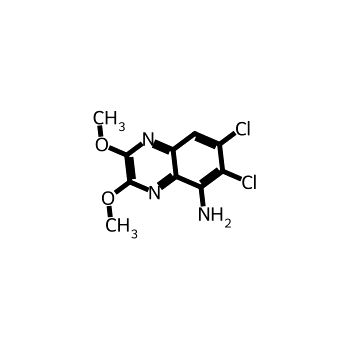 COc1nc2cc(Cl)c(Cl)c(N)c2nc1OC